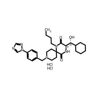 CCCCN1C(=O)[C@@H]([C@H](O)C2CCCCC2)NC(=O)C12CCN(Cc1ccc(-n3cncn3)cc1)CC2.Cl.Cl